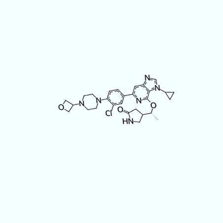 C[C@@H](Oc1nc(-c2ccc(N3CCN(C4COC4)CC3)c(Cl)c2)cc2ncn(C3CC3)c12)C1CNC(=O)C1